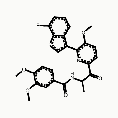 COc1ccc(C(=O)NC(C)C(=O)c2ccc(OC)c(-c3csc4c(F)cccc34)n2)cc1OC